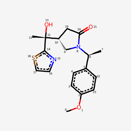 COc1ccc([C@H](C)N2C[C@H]([C@@](C)(O)c3nccs3)CC2=O)cc1